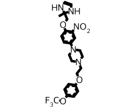 CC1(COc2ccc(N3CCN(CCOc4ccc(OC(F)(F)F)cc4)CC3)cc2[N+](=O)[O-])NC=CN1